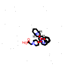 O=C(O)CN1CCC(c2nc3ccccc3n2[C@@H]2C[C@H]3CCC[C@@H](C2)N3[C@@H]2C[C@@H]3CCCC[C@@H](C3)C2)CC1